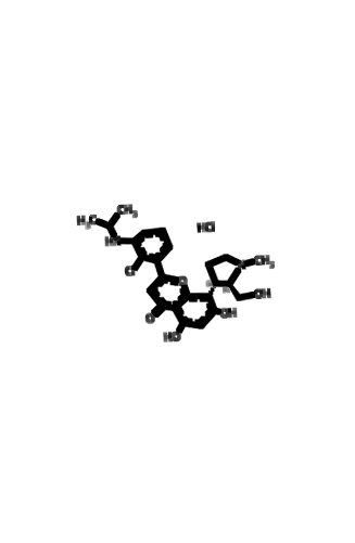 CC(C)Nc1cccc(-c2cc(=O)c3c(O)cc(O)c([C@@H]4CCN(C)[C@H]4CO)c3o2)c1Cl.Cl